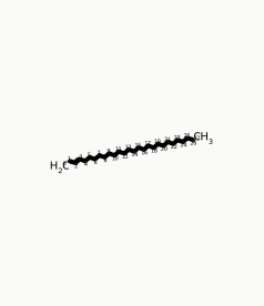 C=CC=CCCCCCCCCCCCCCCCCCCCCCCCC